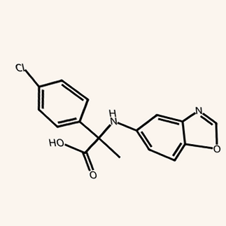 CC(Nc1ccc2ocnc2c1)(C(=O)O)c1ccc(Cl)cc1